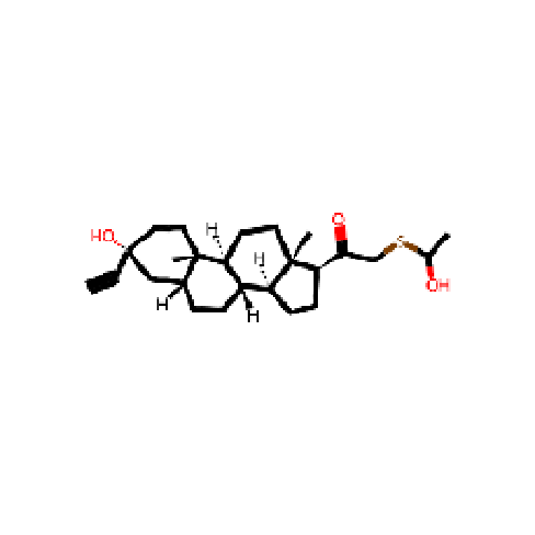 C#C[C@@]1(O)CC[C@@]2(C)[C@H](CC[C@@H]3[C@@H]2CC[C@]2(C)[C@@H](C(=O)CSC(C)O)CC[C@@H]32)C1